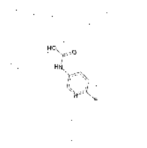 O=C(O)Nc1ccc(F)nc1